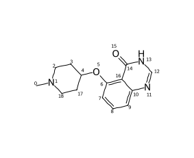 CN1CCC(Oc2cccc3nc[nH]c(=O)c23)CC1